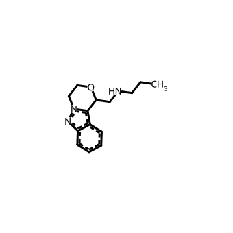 CCCNCC1OCCn2nc3ccccc3c21